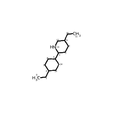 CCC1CCC(C2CCC(CC)CN2)CC1